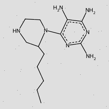 CCCCCC1CNCCN1c1nc(N)nc(N)c1N